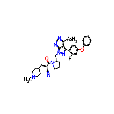 CN1CCC(C=C(C#N)C(=O)N2CCC[C@@H]2Cn2nc(-c3ccc(Oc4ccccc4)cc3F)c3c([AsH2])ncnc32)CC1